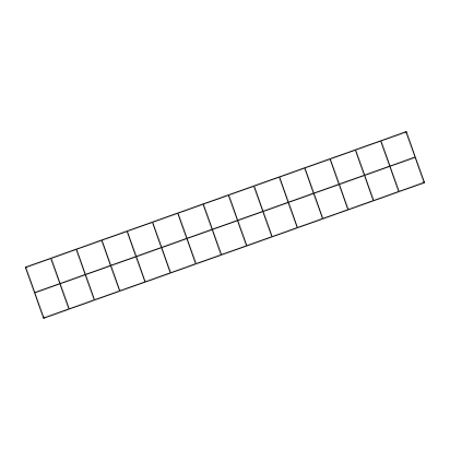 C1C2CC3C4C5C6C7C8C9C%10C%11C%12C%13C%14C%15C%16CC%17CC%18C%19C%20C%21C%22C%23C%24C%25C%26C%27C%28C%29C%30C1C23C%304C%295C%286C%277C%268C%259C%24%10C%23%11C%22%12C%21%13C%20%14C%19%15C%17%18%16